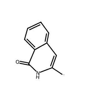 [CH2]c1cc2ccccc2c(=O)[nH]1